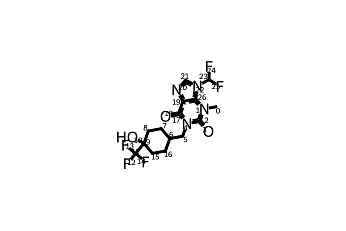 Cn1c(=O)n(CC2CCC(O)(C(F)(F)F)CC2)c(=O)c2ncn(C(F)F)c21